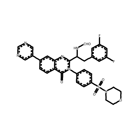 O=CNC(Cc1cc(F)cc(F)c1)c1nc2cc(-c3cncnc3)ccc2c(=O)n1-c1ccc(S(=O)(=O)N2CCOCC2)cc1